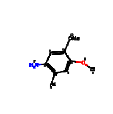 CCOc1cc(C(C)=O)c(N)cc1OC